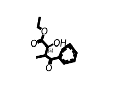 CCOC(=O)[C@@H](O)C(C)C(=O)c1ccccc1